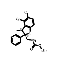 C[C@H]1c2c(ccc(Cl)c2Br)O[C@]1(CNC(=O)OC(C)(C)C)c1ccccc1